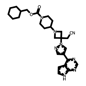 N#CCC1(n2cc(-c3ncnc4[nH]ccc34)cn2)CN(C2CCN(C(=O)OCC3CCCCC3)CC2)C1